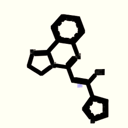 O/C(=C\C1=Nc2ccccc2C2=NCCN12)c1ccsc1